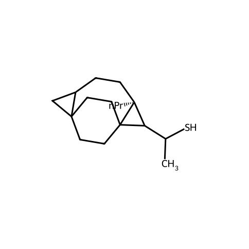 CCC[C@@]12CCC3CC34CCC1(CC4)C2C(C)S